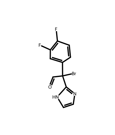 O=CC(Br)(c1ccc(F)c(F)c1)c1ncc[nH]1